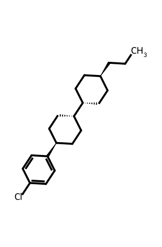 CCC[C@H]1CC[C@H]([C@H]2CC[C@H](c3ccc(Cl)cc3)CC2)CC1